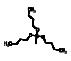 CCCCO[Si](I)(OCCCC)OCCCC